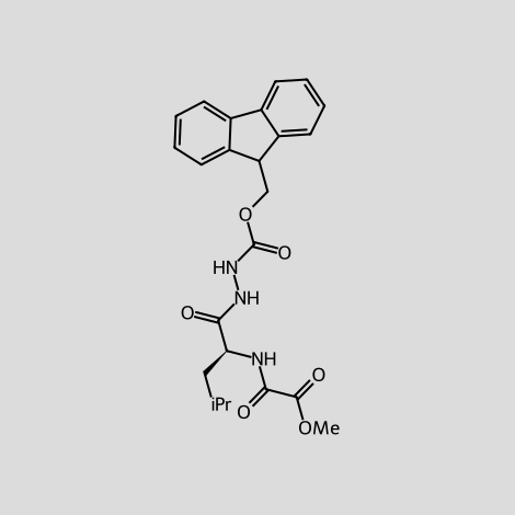 COC(=O)C(=O)N[C@@H](CC(C)C)C(=O)NNC(=O)OCC1c2ccccc2-c2ccccc21